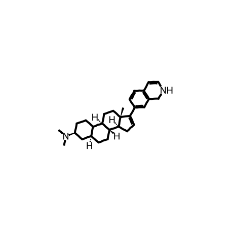 CN(C)[C@H]1CCC2[C@@H](CC[C@@H]3[C@@H]2CC[C@]2(C)C(c4ccc5c(c4)CNC=C5)=CC[C@@H]32)C1